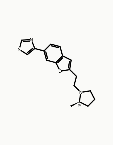 C[C@@H]1CCCN1CCc1cc2ccc(-c3cscn3)cc2o1